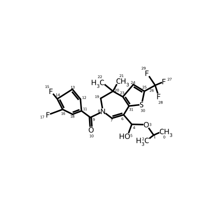 CC(C)OC(O)C1=CN(C(=O)c2ccc(F)c(F)c2)CC(C)(C)c2cc(C(F)(F)F)sc21